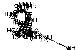 CCCC[C@H](NC(=O)[C@H](CNC(=O)CN(CC(=O)O)CC(=O)O)NC(=O)[C@H](CO)NC(=O)[C@H](CCC(N)=O)NC(=O)[C@H](CO)NC(=O)CNC(=O)COCCOCCNC(=O)CCCCCCCCCCCCCCCc1nnn[nH]1)C(=O)N[C@H]1CCC(=O)NCCCC[C@@H](C(N)=O)NC(=O)[C@@H](Cc2c[nH]c3ccccc23)NC(=O)[C@H](CCCNC(=N)N)NC(=O)[C@@H](Cc2ccccc2)NC(=O)[C@@H]2C[C@@H](O)CN2C1=O